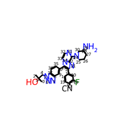 CC(C)(O)Cn1nnc2cc(-c3c(-c4ccc(C#N)c(F)c4)nc4c(N5CCC[C@@H](N)C5)nccn34)ccc21